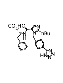 CCCCc1ncc(C(=O)N[C@@H](CC(=O)O)Cc2ccccc2)n1Cc1ccc(-c2nnn[nH]2)cc1